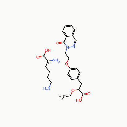 CCOC(Cc1ccc(OCCn2ncc3ccccc3c2=O)cc1)C(=O)O.NCCCC[C@H](N)C(=O)O